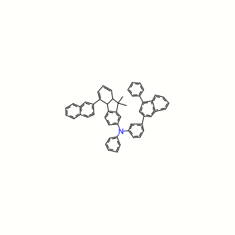 CC1(C)c2cc(N(c3ccccc3)c3cccc(-c4cc(-c5ccccc5)c5ccccc5c4)c3)ccc2C2C(c3ccc4ccccc4c3)=CC=CC21